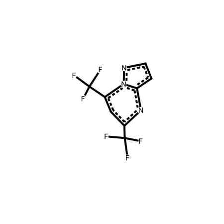 FC(F)(F)c1cc(C(F)(F)F)n2nccc2n1